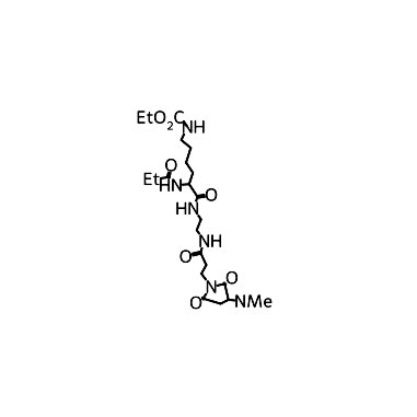 CCOC(=O)NCCCCC(NC(=O)CC)C(=O)NCCNC(=O)CCN1C(=O)CC(NC)C1=O